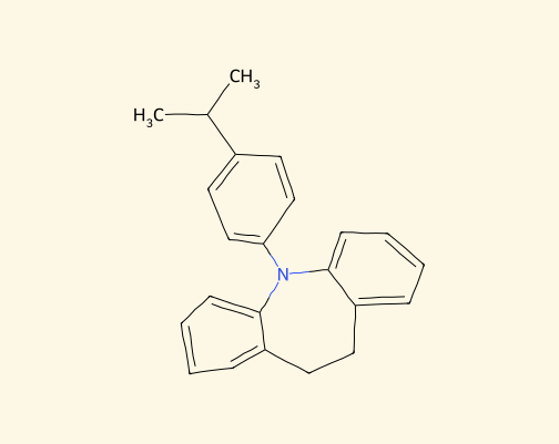 CC(C)c1ccc(N2c3ccccc3CCc3ccccc32)cc1